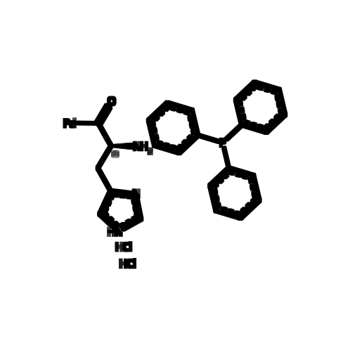 Cl.Cl.N[C@@H](Cc1c[nH]cn1)[C](=O)[Pd].c1ccc(P(c2ccccc2)c2ccccc2)cc1